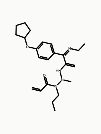 C=CC(=O)N(CCC)N(C)NC(=C)/C(=N\CC)c1ccc(OC2CCCC2)cc1